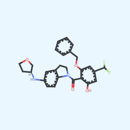 O=C(c1c(O)cc(C(F)F)cc1OCc1ccccc1)N1CCc2cc(N[C@H]3CCOC3)ccc21